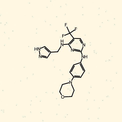 FC(F)(F)c1cnc(Nc2ccc(N3CCOCC3)cc2)nc1NCc1cn[nH]c1